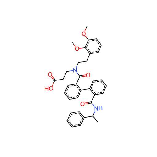 COc1cccc(CCN(CCC(=O)O)C(=O)c2ccccc2-c2ccccc2C(=O)NC(C)c2ccccc2)c1OC